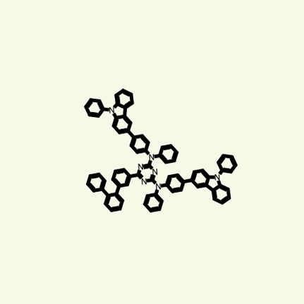 c1ccc(-c2ccccc2-c2cccc(-c3nc(N(c4ccccc4)c4ccc(-c5ccc6c(c5)c5ccccc5n6-c5ccccc5)cc4)nc(N(c4ccccc4)c4ccc(-c5ccc6c(c5)c5ccccc5n6-c5ccccc5)cc4)n3)c2)cc1